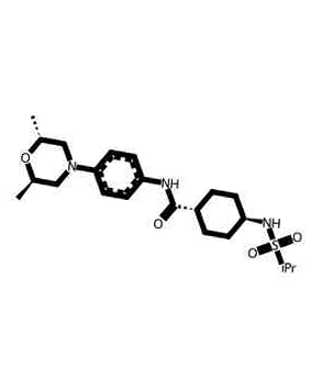 CC(C)S(=O)(=O)N[C@H]1CC[C@H](C(=O)Nc2ccc(N3C[C@@H](C)O[C@H](C)C3)cc2)CC1